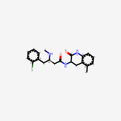 CN[C@@H](CC(=O)NC1Cc2c(C)cccc2NC1=O)Cc1ccccc1F